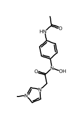 CC(=O)Nc1ccc(N(O)C(=O)Cn2cc[n+](C)c2)cc1